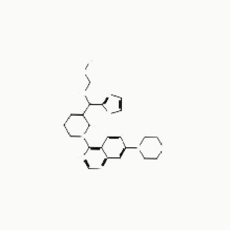 NOCOC(c1nccs1)C1CCCN(c2ncnc3cc(N4CCOCC4)ccc23)C1